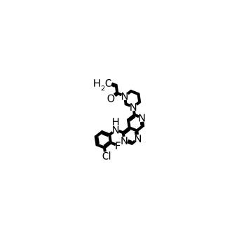 C=CC(=O)N1CCCN(c2cc3c(Nc4cccc(Cl)c4F)ncnc3cn2)C1